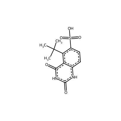 CC(C)(C)c1c(S(=O)(=O)O)ccc2[nH]c(=O)[nH]c(=O)c12